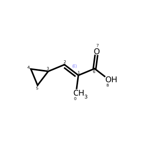 C/C(=C\C1CC1)C(=O)O